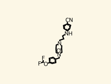 N#Cc1ccc(NCCCN2CC3CN(Cc4ccc(OC(F)F)cc4)CC(C2)O3)cc1